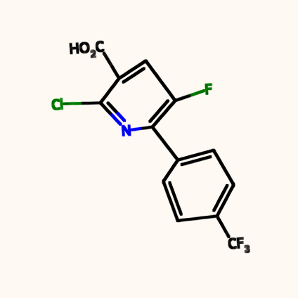 O=C(O)c1cc(F)c(-c2ccc(C(F)(F)F)cc2)nc1Cl